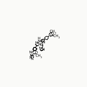 CC(Cn1cnnn1)Oc1cc(-c2cnc(Nc3cn(C4CCC(N5C[C@@H](C)O[C@@H](C)C5)CC4)nc3OCc3ncccn3)nc2)ccc1C#N